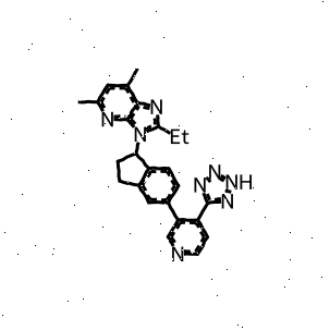 CCc1nc2c(C)cc(C)nc2n1C1CCc2cc(-c3cnccc3-c3nn[nH]n3)ccc21